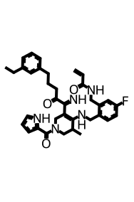 C=CC(=O)NCc1cc(F)ccc1CNC1=C(C(=N)C(=O)CCCc2cccc(CC)c2)CN(C(=O)c2ccc[nH]2)CC1C